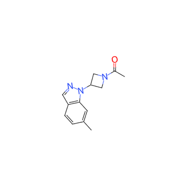 CC(=O)N1CC(n2ncc3ccc(C)cc32)C1